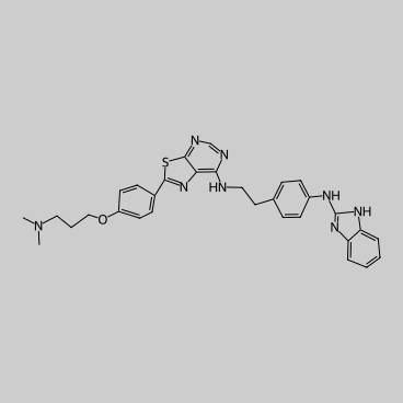 CN(C)CCCOc1ccc(-c2nc3c(NCCc4ccc(Nc5nc6ccccc6[nH]5)cc4)ncnc3s2)cc1